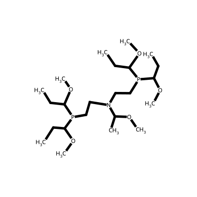 CCC(OC)P(CCN(CCP(C(CC)OC)C(CC)OC)C(C)OC)C(CC)OC